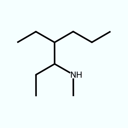 CCCC(CC)C(CC)NC